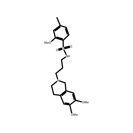 COc1cc2c(cc1OC)CN(CCCNS(=O)(=O)c1ccc(C)cc1OC)CC2